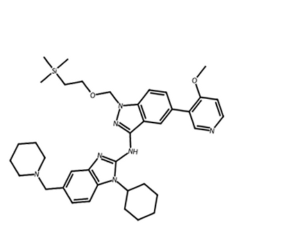 COc1ccncc1-c1ccc2c(c1)c(Nc1nc3cc(CN4CCCCC4)ccc3n1C1CCCCC1)nn2COCC[Si](C)(C)C